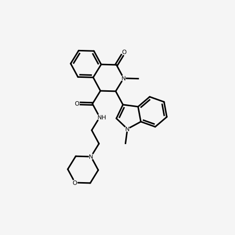 CN1C(=O)c2ccccc2C(C(=O)NCCN2CCOCC2)C1c1cn(C)c2ccccc12